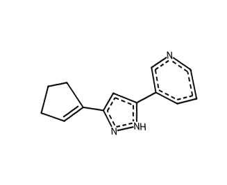 C1=C(c2cc(-c3cccnc3)[nH]n2)CCC1